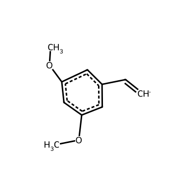 [CH]=Cc1cc(OC)cc(OC)c1